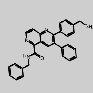 NCc1ccc(-c2nc3ccnc(C(=O)NCc4ccccc4)c3cc2-c2ccccc2)cc1